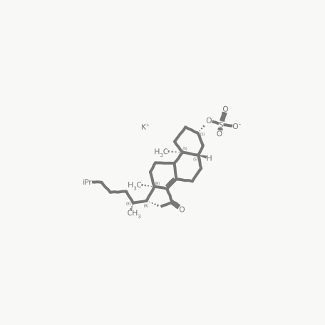 CC(C)CCC[C@@H](C)[C@H]1CC(=O)C2=C3CC[C@H]4C[C@@H](OS(=O)(=O)[O-])CC[C@]4(C)C3CC[C@@]21C.[K+]